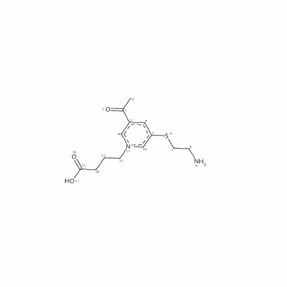 CC(=O)c1cc(SCCN)c[n+](CCCC(=O)O)c1